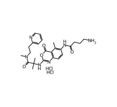 Cc1c(NC(=O)CCCN)ccc2nc(NC(C)(C)C(=O)N(C)CCc3ccccn3)oc(=O)c12.Cl.Cl